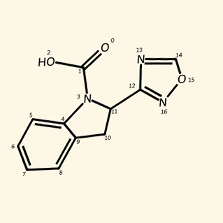 O=C(O)N1c2ccccc2CC1c1ncon1